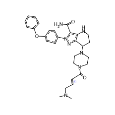 CN(C)C/C=C/C(=O)N1CCN(C2CCNc3c2nn(-c2ccc(Oc4ccccc4)cc2)c3C(N)=O)CC1